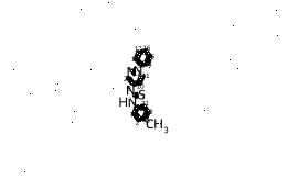 Cc1ccc(NC(=S)N=c2ccn(C3C=CCC=C3)nc2)cc1